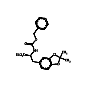 CCOC(=O)[C@H](Cc1ccc2c(c1)OC(C)(C)O2)NC(=O)OCc1ccccc1